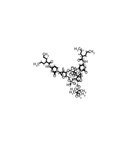 CCCC(CCC)C(=O)Nc1ccn([C@@H]2C3O[C@H](COP(=O)(S)OC4[C@@H](CO[Si](C)(C)C(C)(C)C)OC5[C@@H](n6ccc(NC(=O)C(CCC)CCC)nc6=O)C45F)C(O[Si](C)(C)C(C)(C)C)C32F)c(=O)n1